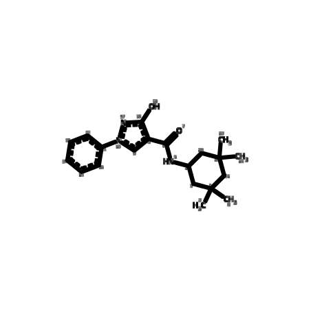 CC1(C)CC(NC(=O)c2cn(-c3ccccc3)nc2O)CC(C)(C)C1